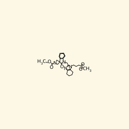 CCOC(=O)N1CC2(C1)C(=O)N(Cc1nc3c(n1CCCS(C)(=O)=O)CCCC3)c1ccccc12